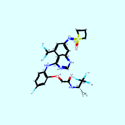 C[C@H](NC(=O)COc1cc(F)ccc1Nc1ncnc2cc(N=S3(=O)CCC3)cc(C(F)F)c12)C(F)(F)F